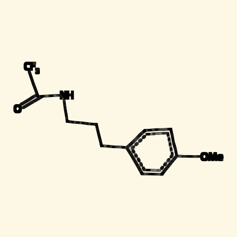 COc1ccc(CCCNC(=O)C(F)(F)F)cc1